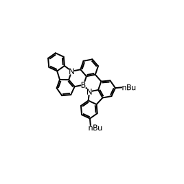 CCCCc1ccc2c(c1)c1cc(CCCC)cc3c1n2B1c2c-3cccc2-n2c3ccccc3c3cccc1c32